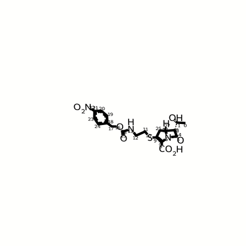 CC(O)[C@@H]1C(=O)N2C(C(=O)O)=C(SCCNC(=O)OCc3ccc([N+](=O)[O-])cc3)C[C@H]12